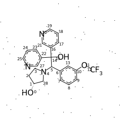 O[C@@H]1CCN(C(c2cccc(OC(F)(F)F)c2)C(O)(c2cccnc2)c2cccnc2)C1